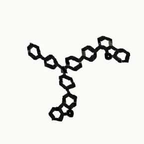 c1ccc(-c2ccc(N(c3ccc(-c4ccc(-c5cccc6c5oc5ccccc56)cc4)cc3)c3ccc(-c4ccc5oc6ccccc6c5c4)cc3)cc2)cc1